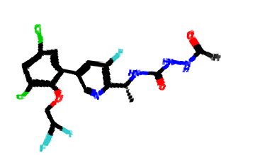 CC(C)C(=O)NNC(=O)N[C@H](C)c1ncc(-c2cc(Cl)cc(Cl)c2OCC(F)F)cc1F